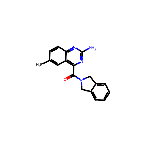 Bc1ccc2nc(N)nc(C(=O)N3Cc4ccccc4C3)c2c1